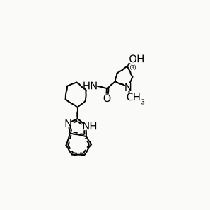 CN1C[C@H](O)CC1C(=O)NC1CCCC(c2nc3ccccc3[nH]2)C1